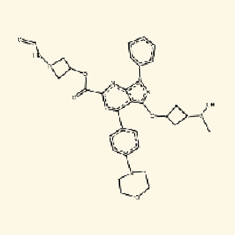 CB(O)N1CC(Oc2nn(-c3ccccc3)c3nc(C(=O)OC4CN(BC=O)C4)cc(-c4ccc(N5CCOCC5)cc4)c23)C1